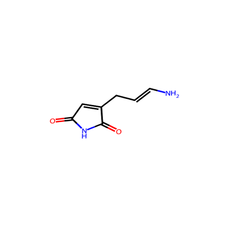 NC=CCC1=CC(=O)NC1=O